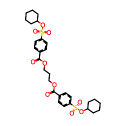 O=C(OCCCOC(=O)c1ccc(S(=O)(=O)OC2CCCCC2)cc1)c1ccc(S(=O)(=O)OC2CCCCC2)cc1